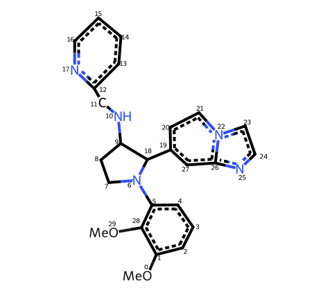 COc1cccc(N2CCC(NCc3ccccn3)C2c2ccn3ccnc3c2)c1OC